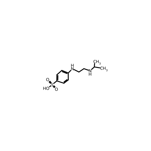 CC(C)NCCNc1ccc(S(=O)(=O)O)cc1